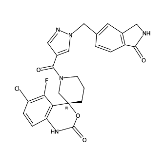 O=C1Nc2ccc(Cl)c(F)c2[C@@]2(CCCN(C(=O)c3cnn(Cc4ccc5c(c4)CNC5=O)c3)C2)O1